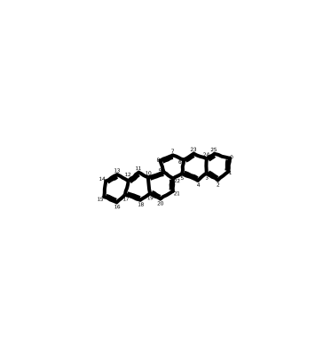 c1ccc2cc3c(ccc4c5cc6ccccc6cc5ccc34)cc2c1